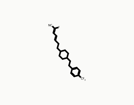 N#CC(F)=CC=CCCC1CCC(CCc2ccc(C(F)(F)F)cc2)CC1